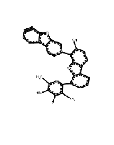 Bc1nc(-c2cccc3c2oc2c(-c4ccc5c(c4)oc4c#cccc45)c(C#N)ccc23)c(B)c(F)c1C(C)(C)C